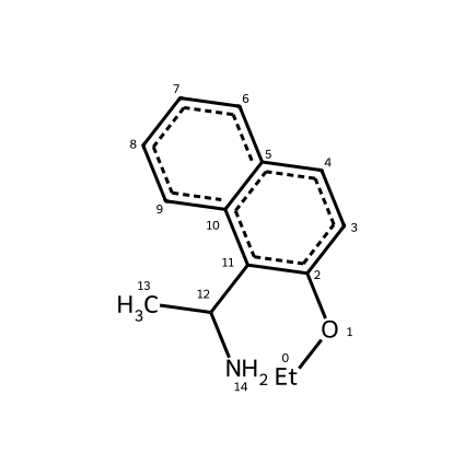 CCOc1ccc2ccccc2c1C(C)N